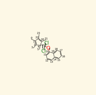 CC1=C(C)[C](C)([Ti]([Cl])([Cl])[O]c2cccc3ccccc23)C(C)=C1C